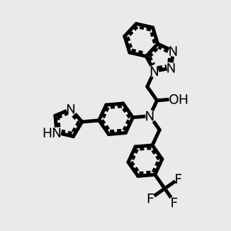 OC(Cn1nnc2ccccc21)N(Cc1cccc(C(F)(F)F)c1)c1ccc(-c2c[nH]cn2)cc1